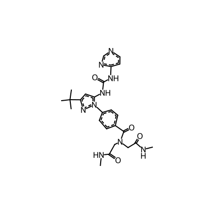 CNC(=O)CN(CC(=O)NC)C(=O)c1ccc(-n2nc(C(C)(C)C)cc2NC(=O)Nc2ccncn2)cc1